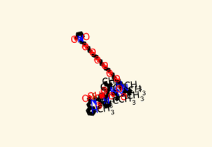 CCC(C)C(C(CC(=O)N1CCC[C@H]1C(OC)C(C)C(=S)NC(Cc1ccccc1)C(=O)O)OC)N(C)C(=O)C(NC(=O)C(C(C)C)N(C)C(=O)CCOCCOCCOCCOCCOCCOCCN1C(=O)C=CC1=O)C(C)C